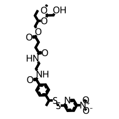 CCC(COC(=O)CCC(=O)NCCNC(=O)c1ccc(C(C)SSc2ccc([N+](=O)[O-])cn2)cc1)OC(CO)OC